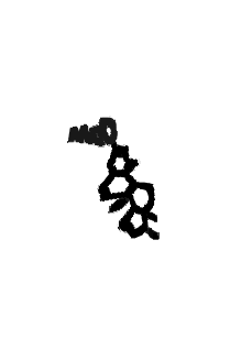 COc1ccc2c(c1)CC[C@]1(C)C2CC[C@@]2(C)C1CC[C@@H]2C